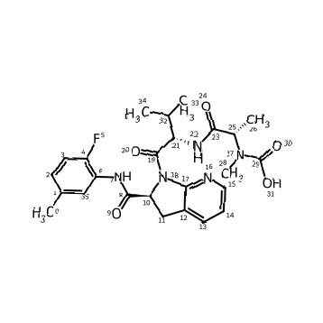 Cc1ccc(F)c(NC(=O)[C@@H]2Cc3cccnc3N2C(=O)[C@@H](NC(=O)[C@H](C)N(C)C(=O)O)C(C)C)c1